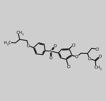 CCC(C)COc1ccc(S(=O)(=O)c2cc(Cl)c(OCC(CCl)OC(C)=O)c(Cl)c2)cc1